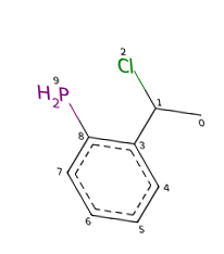 CC(Cl)c1ccccc1P